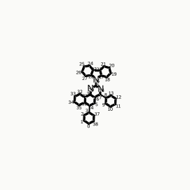 c1ccc(-c2cc3c(-c4ccccc4)nc(-n4c5ccccc5c5ccccc54)nc3c3ccccc23)cc1